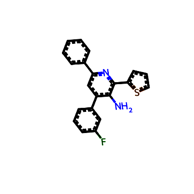 Nc1c(-c2cccc(F)c2)cc(-c2ccccc2)nc1-c1cccs1